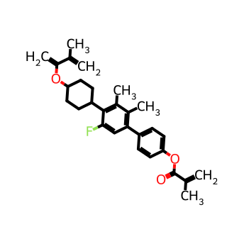 C=C(C)C(=C)OC1CCC(c2c(F)cc(-c3ccc(OC(=O)C(=C)C)cc3)c(C)c2C)CC1